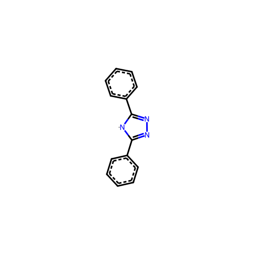 c1ccc(C2=NN=C(c3ccccc3)[N]2)cc1